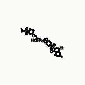 CCn1cc(S(=O)(=O)N2CCC3(CC2)C[C@@H](NCC(O)COc2cccc(S(=O)(=O)C4CC4)c2)CO3)c(=O)c2ccc(C)cc21